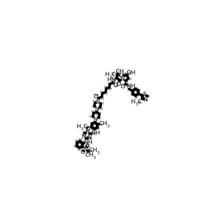 COc1cc(N2CCC(N3CCN(C(=O)CCCCCCC(=O)NC(C(=O)N4C[C@H](O)C[C@H]4C(=O)NCc4ccc(-c5scnc5C)cc4)C(C)(C)C)CC3)CC2)c(C)cc1Nc1ncnc(Nc2ccccc2S(=O)(=O)C(C)C)n1